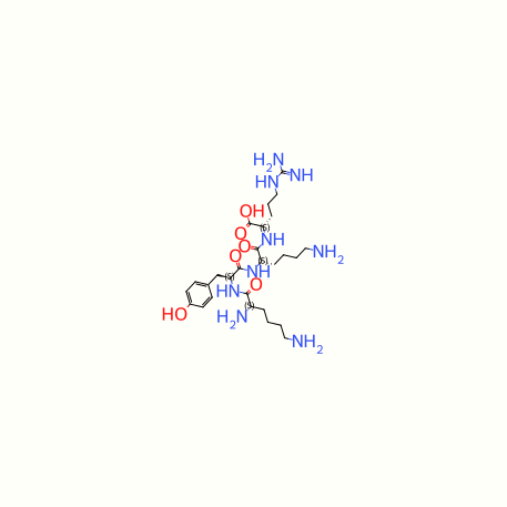 N=C(N)NCCC[C@H](NC(=O)[C@H](CCCCN)NC(=O)[C@H](Cc1ccc(O)cc1)NC(=O)[C@@H](N)CCCCN)C(=O)O